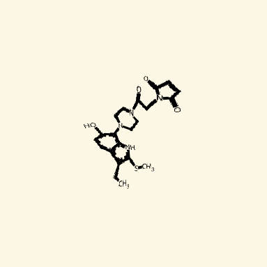 CCc1c(SC)[nH]c2c(N3CCN(C(=O)CN4C(=O)C=CC4=O)CC3)c(O)ccc12